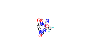 COC(=O)[C@H](Cc1ccc2ccccc2c1)N1CCN(C(=O)[C@@H]2CN(c3ccc(=O)n(C)n3)C[C@H]2c2ccc(F)cc2F)[C@@H](CCN(C)C)C1